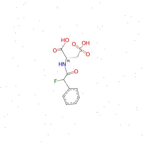 O=C(N[C@@H](CS(=O)(=O)O)C(=O)O)C(F)c1ccccc1